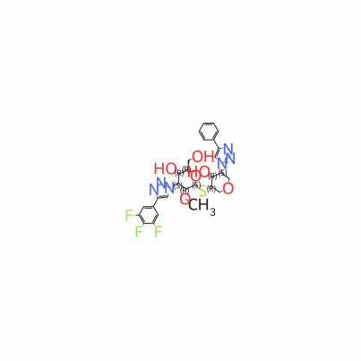 CO[C@@H]1[C@@H](n2cc(-c3cc(F)c(F)c(F)c3)nn2)[C@@H](O)[C@@H](CO)O[C@H]1S[C@@H]1COC[C@H](n2cc(-c3ccccc3)nn2)[C@H]1O